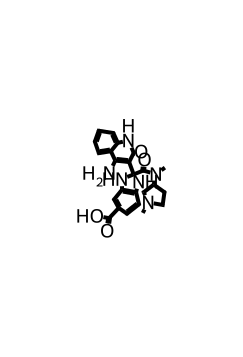 CN1CCC(N(C)C(=O)C2(c3c(N)c4ccccc4[nH]c3=O)Nc3ccc(C(=O)O)cc3N2)C1